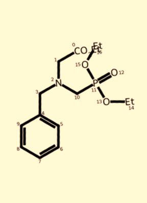 CCOC(=O)CN(Cc1ccccc1)CP(=O)(OCC)OCC